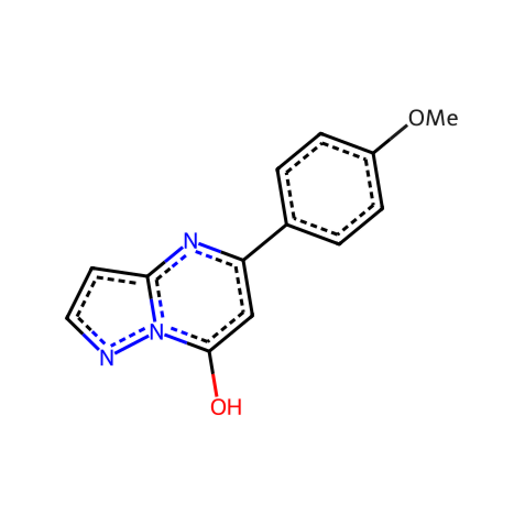 COc1ccc(-c2cc(O)n3nccc3n2)cc1